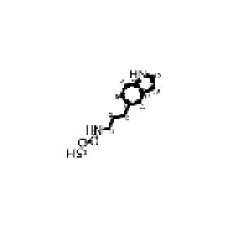 SOONCCCc1ccc2[nH]ccc2c1